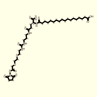 O=C(O)CCCCCCCCCCCCCCCCC(=O)N[C@@H](CCC(=O)NCCCNC(=O)NCCOCCOCC(=O)ON1C(=O)CCC1=O)C(=O)O